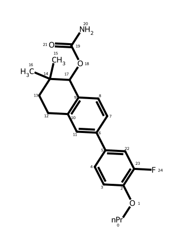 CCCOc1ccc(-c2ccc3c(c2)CCC(C)(C)C3OC(N)=O)cc1F